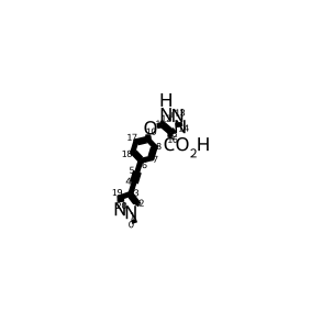 Cn1cc(C#Cc2ccc(Oc3[nH]nnc3C(=O)O)cc2)cn1